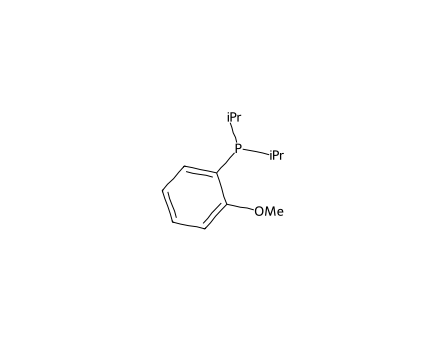 COc1ccccc1P(C(C)C)C(C)C